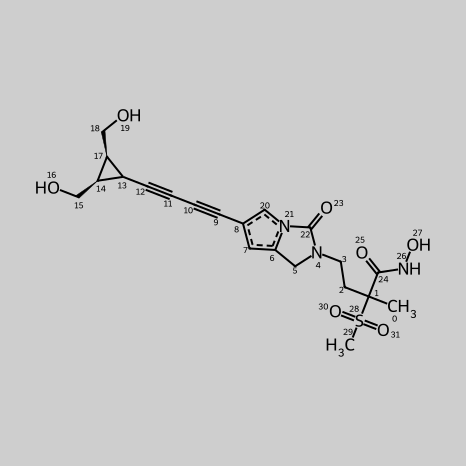 CC(CCN1Cc2cc(C#CC#CC3[C@@H](CO)[C@H]3CO)cn2C1=O)(C(=O)NO)S(C)(=O)=O